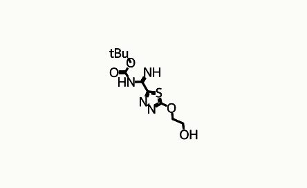 CC(C)(C)OC(=O)NC(=N)c1nnc(OCCO)s1